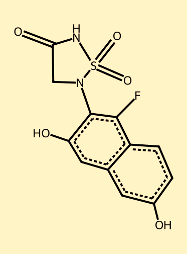 O=C1CN(c2c(O)cc3cc(O)ccc3c2F)S(=O)(=O)N1